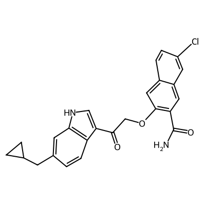 NC(=O)c1cc2cc(Cl)ccc2cc1OCC(=O)c1c[nH]c2cc(CC3CC3)ccc12